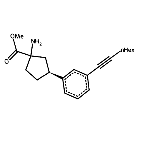 CCCCCCC#Cc1cccc([C@H]2CCC(N)(C(=O)OC)C2)c1